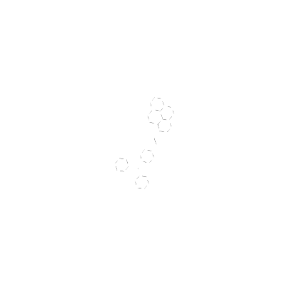 Cc1cccc(N(c2ccc(C=Cc3ccc4ccc5cccc6ccc3c4c56)cc2)c2cccc(C)c2)c1